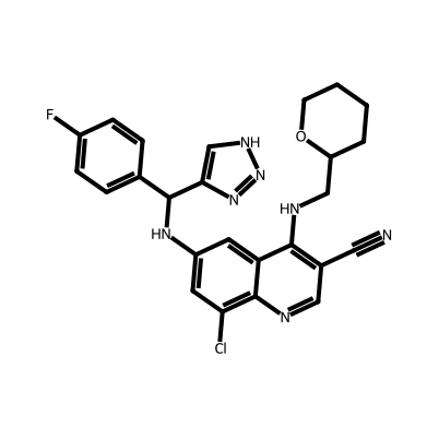 N#Cc1cnc2c(Cl)cc(NC(c3ccc(F)cc3)c3c[nH]nn3)cc2c1NCC1CCCCO1